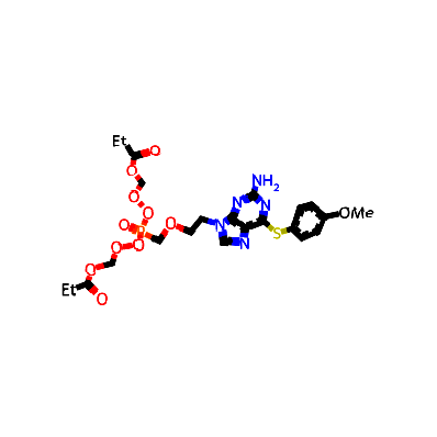 CCC(=O)OCOOP(=O)(COCCn1cnc2c(Sc3ccc(OC)cc3)nc(N)nc21)OOCOC(=O)CC